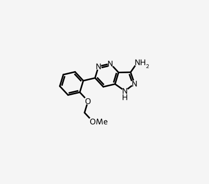 COCOc1ccccc1-c1cc2[nH]nc(N)c2nn1